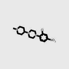 CN1CCC(N2CCN(c3ccc([N+](=O)[O-])cc3Cl)CC2)CC1